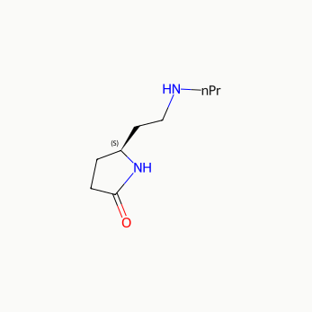 CCCNCC[C@@H]1CCC(=O)N1